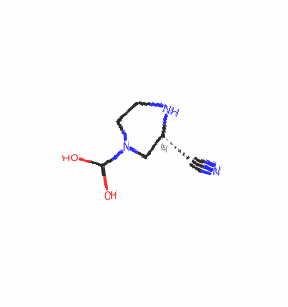 N#C[C@@H]1CN(C(O)O)CCN1